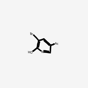 CC(=O)c1cnc(O)c(Br)c1